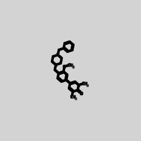 COc1cc(-c2cc(C)c(=O)n(C)c2)ccc1CN1CCN(Cc2ccccc2)CC1